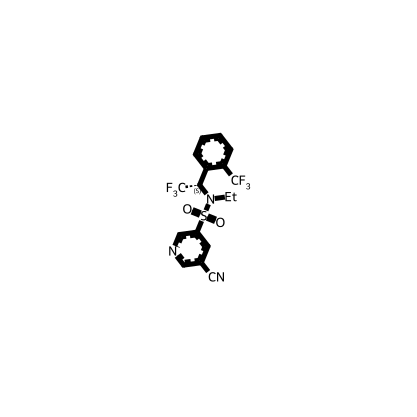 CCN([C@@H](c1ccccc1C(F)(F)F)C(F)(F)F)S(=O)(=O)c1cncc(C#N)c1